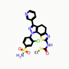 CCSC(=O)Nc1nc2c(s1)-c1c(c(-c3cccnc3)nn1-c1ccc(S(N)(=O)=O)cc1Cl)CC2